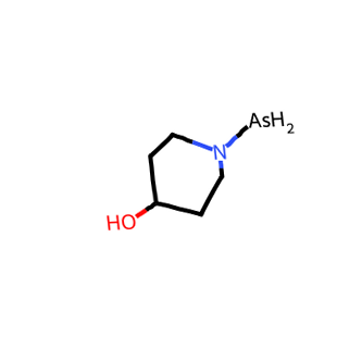 OC1CCN([AsH2])CC1